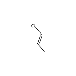 CC=NCl